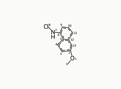 COc1ccc2c(NCl)cccc2c1